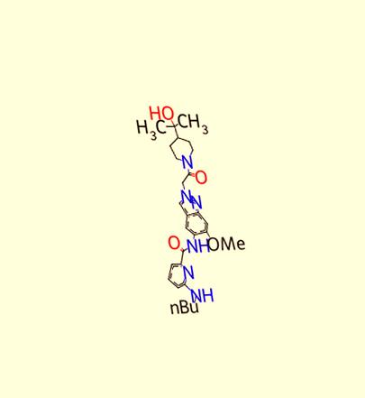 CCCCNc1cccc(C(=O)Nc2cc3cn(CC(=O)N4CCC(C(C)(C)O)CC4)nc3cc2OC)n1